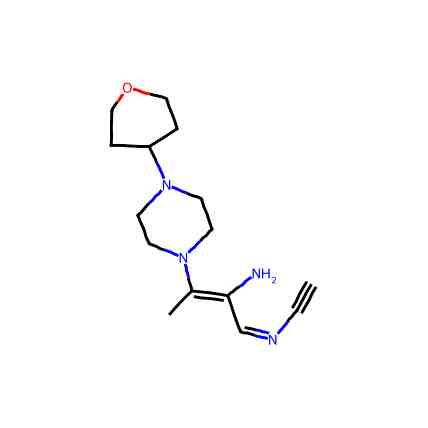 C#C/N=C\C(N)=C(/C)N1CCN(C2CCOCC2)CC1